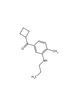 CCCNc1cc(C(=O)C2CCC2)ccc1C